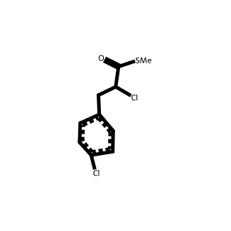 CSC(=O)C(Cl)Cc1ccc(Cl)cc1